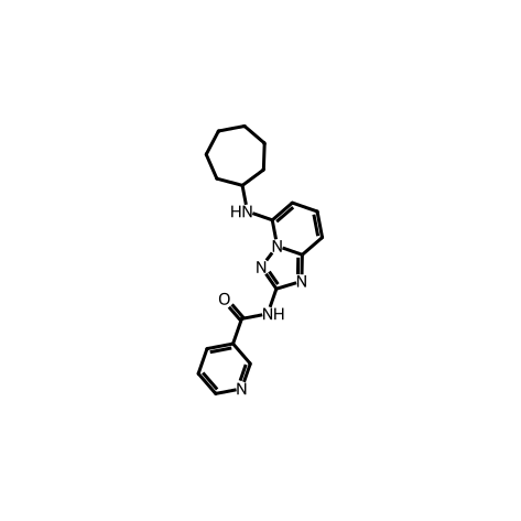 O=C(Nc1nc2cccc(NC3CCCCCC3)n2n1)c1cccnc1